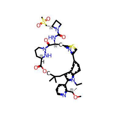 CCn1c(-c2cccnc2[C@H](C)OC)c2c3cc(ccc31)-c1csc(n1)C[C@H](NC(=O)N1CC[C@H]1CS(C)(=O)=O)C(=O)N1CCC[C@H](N1)C(=O)OCC(C)(C)C2